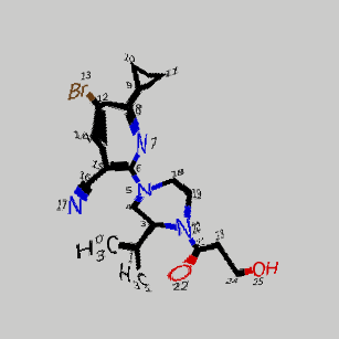 CC(C)C1CN(c2nc(C3CC3)c(Br)cc2C#N)CCN1C(=O)CCO